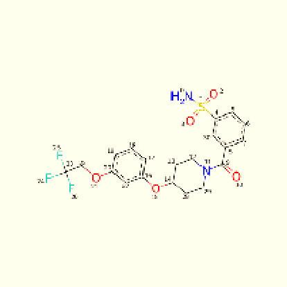 NS(=O)(=O)c1cccc(C(=O)N2CCC(Oc3cccc(OCC(F)(F)F)c3)CC2)c1